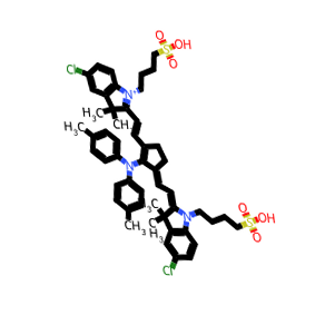 Cc1ccc(N(C2=C(/C=C/C3=[N+](CCCCS(=O)(=O)O)c4ccc(Cl)cc4C3(C)C)CC/C2=C\C=C2\N(CCCCS(=O)(=O)O)c3ccc(Cl)cc3C2(C)C)c2ccc(C)cc2)cc1